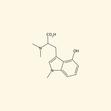 CN(C)C(Cc1cn(C)c2cccc(O)c12)C(=O)O